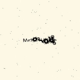 CSc1ccc(OCCCN2CCN(c3cc(=O)n(C)c(=O)n3C)CC2)cc1